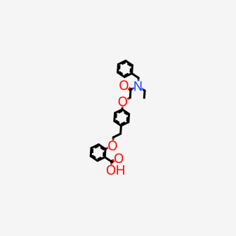 CCN(Cc1ccccc1)C(=O)COc1ccc(CCOc2ccccc2C(=O)O)cc1